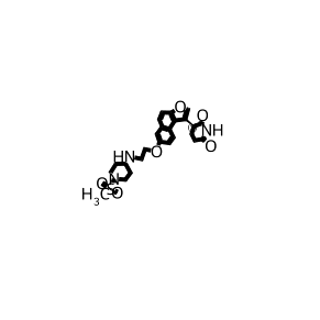 CS(=O)(=O)N1CCC(NCCOc2ccc3c(ccc4occ([C@@H]5CCC(=O)NC5=O)c43)c2)CC1